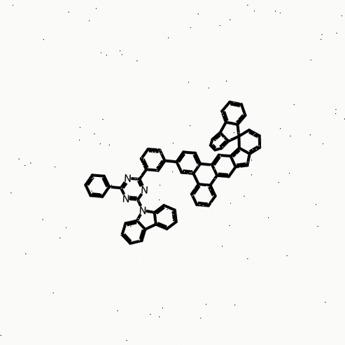 C1=CC2(C3=c4cc5c6ccc(-c7cccc(-c8nc(-c9ccccc9)nc(-n9c%10ccccc%10c%10ccccc%109)n8)c7)cc6c6ccccc6c5cc4=CC3=C1)c1ccccc1-c1ccccc12